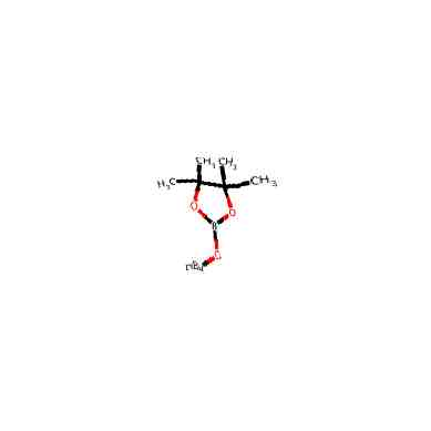 CCCCOB1OC(C)(C)C(C)(C)O1